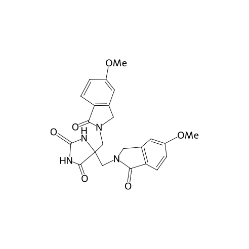 COc1ccc2c(c1)CN(CC1(CN3Cc4cc(OC)ccc4C3=O)NC(=O)NC1=O)C2=O